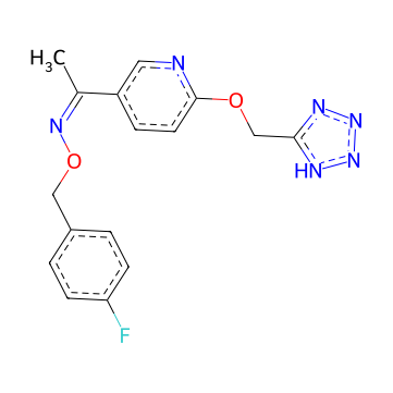 CC(=NOCc1ccc(F)cc1)c1ccc(OCc2nnn[nH]2)nc1